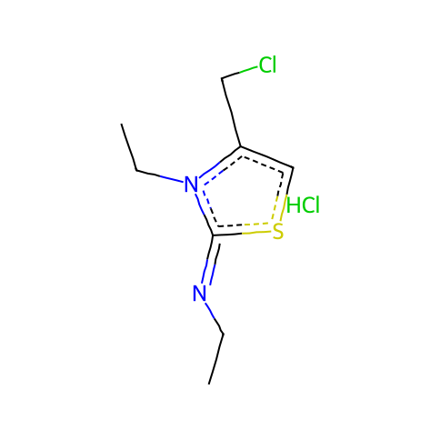 CC/N=c1\scc(CCl)n1CC.Cl